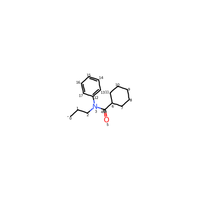 [CH2]CCN(C(=O)C1CCCCC1)c1ccccc1